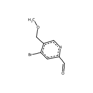 COCc1cnc(C=O)cc1Br